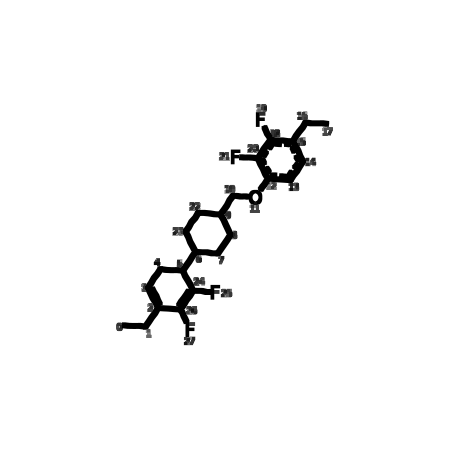 CCC1=CCC(C2CCC(COc3ccc(CC)c(F)c3F)CC2)C(F)=C1F